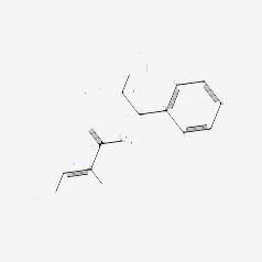 C/C=C(\C)C(=O)N[C@@H](c1ccccc1)[C@@H](O)C(C)=O